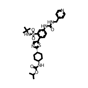 CC(C)OC(=O)N[C@H]1CC[C@H](c2ncc(-c3ccc(NC(=O)NCc4ccncc4)cc3S(=O)(=O)NC(C)(C)C)s2)CC1